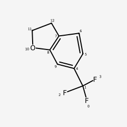 FC(F)(F)c1ccc2c(c1)OCC2